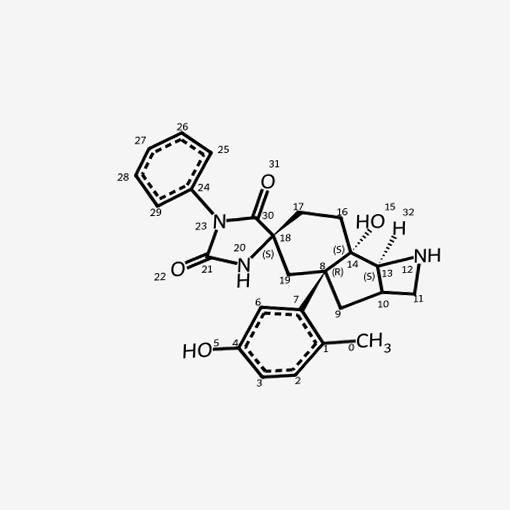 Cc1ccc(O)cc1[C@]12CC3CN[C@@H]3[C@]1(O)CC[C@@]1(C2)NC(=O)N(c2ccccc2)C1=O